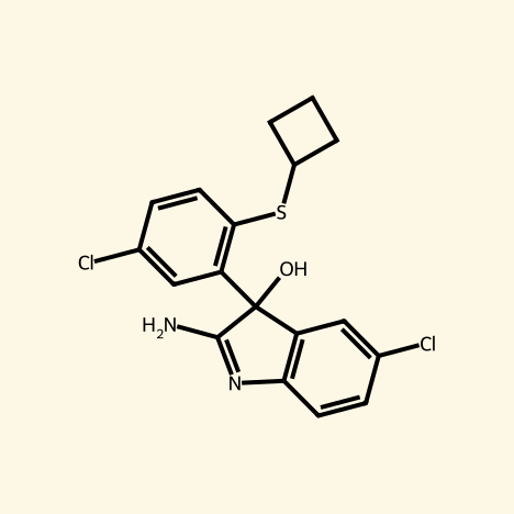 NC1=Nc2ccc(Cl)cc2C1(O)c1cc(Cl)ccc1SC1CCC1